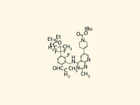 CC=O.CC[Si](CC)(CC)OC(C)(C)C(F)(F)c1cccc([C@@H](C)Nc2nc(C)nc3ncc(C4=CCN(C(=O)OC(C)(C)C)CC4)cc23)c1F